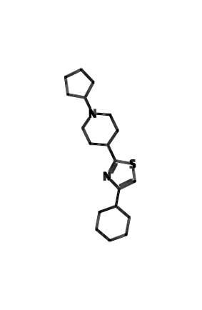 c1sc(C2CCN(C3CCCC3)CC2)nc1C1CCCCC1